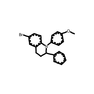 COc1ccc(N2c3ccc(Br)cc3CCC2c2ccccc2)cc1